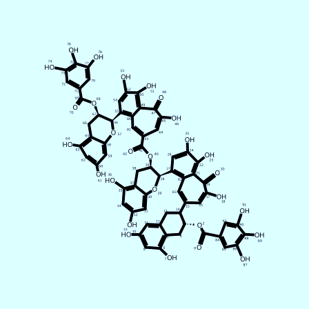 O=C(O[C@@H]1Cc2c(O)cc(O)cc2CC1c1cc(O)c(=O)c2c(O)c(O)cc([C@H]3Oc4cc(O)cc(O)c4C[C@H]3OC(=O)c3cc(O)c(=O)c4c(O)c(O)cc([C@H]5Oc6cc(O)cc(O)c6C[C@H]5OC(=O)c5cc(O)c(O)c(O)c5)c4c3)c2c1)c1cc(O)c(O)c(O)c1